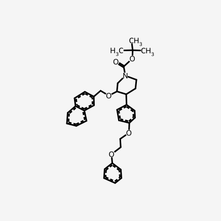 CC(C)(C)OC(=O)N1CCC(c2ccc(OCCOc3ccccc3)cc2)C(OCc2ccc3ccccc3c2)C1